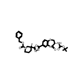 CC(C)(C)OC(=O)N[C@H]1CSc2ccc(-c3nnc(C4(F)CCCN(C(=O)OCc5ccccc5)C4)o3)cc2NC1=O